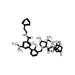 COc1c(CN2C[C@H](O)[C@@H]([C@H](C)O)[C@H]2C(=O)N[C@H]2C[C@H]3C[C@@H]([C@@H]2C)C3(C)C)cccc1-c1cc(C(=O)NCCc2ccccc2)cc(N(C)C)c1